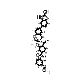 COc1cccc(S(=O)(=O)c2ccc(C(=O)N3CCOc4ccc(-c5ccc6nc(C)[nH]c6c5)cc4C3)c(C)c2)c1